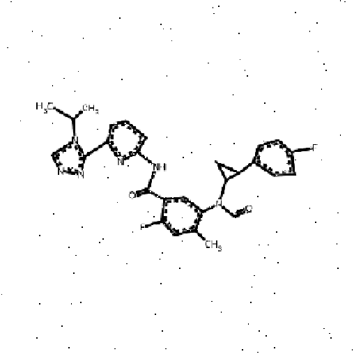 Cc1cc(F)c(C(=O)Nc2cccc(-c3nncn3C(C)C)n2)cc1N(C=O)C1CC1c1ccc(F)cc1